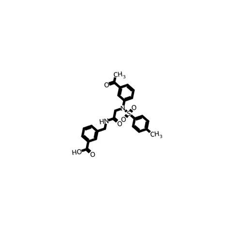 CC(=O)c1cccc(N(CC(=O)NCc2cccc(C(=O)O)c2)S(=O)(=O)c2ccc(C)cc2)c1